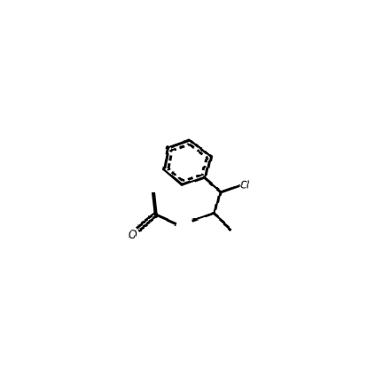 CC(C)=O.CC(C)C(Cl)c1ccccc1